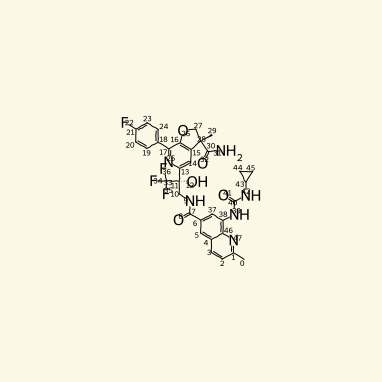 Cc1ccc2cc(C(=O)NC[C@](O)(c3cc4c(c(-c5ccc(F)cc5)n3)OC[C@]4(C)C(N)=O)C(F)(F)F)cc(NC(=O)NC3CC3)c2n1